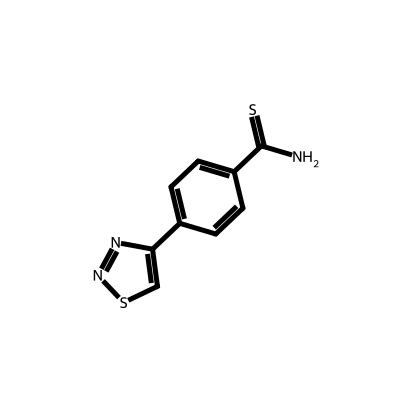 NC(=S)c1ccc(-c2csnn2)cc1